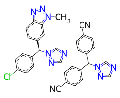 Cn1nnc2ccc([C@H](c3ccc(Cl)cc3)n3cncn3)cc21.N#Cc1ccc(C(c2ccc(C#N)cc2)n2cncn2)cc1